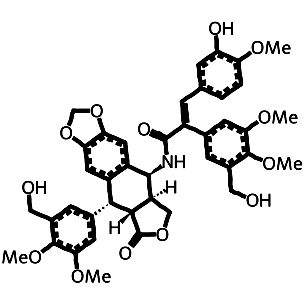 COc1ccc(/C=C(/C(=O)N[C@@H]2c3cc4c(cc3[C@@H](c3cc(CO)c(OC)c(OC)c3)[C@H]3C(=O)OC[C@@H]32)OCO4)c2cc(CO)c(OC)c(OC)c2)cc1O